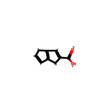 O=C(O)C1=CC2=C(C=CC2)C1